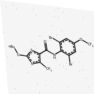 CCCCOc1nc(C(F)(F)F)c(C(=O)Nc2c(Br)cc(OC(F)(F)F)cc2Br)s1